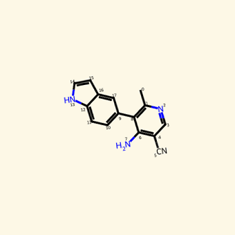 Cc1ncc(C#N)c(N)c1-c1ccc2[nH]ccc2c1